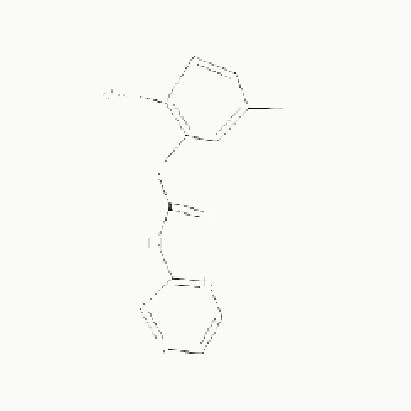 COc1ccc(C(F)(F)F)cc1NC(=O)Nc1cnccn1